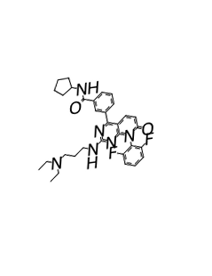 CCN(CC)CCCNc1nc(-c2cccc(C(=O)NC3CCCC3)c2)c2ccc(=O)n(-c3c(F)cccc3F)c2n1